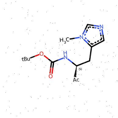 CC(=O)[C@H](Cc1cncn1C)NC(=O)OC(C)(C)C